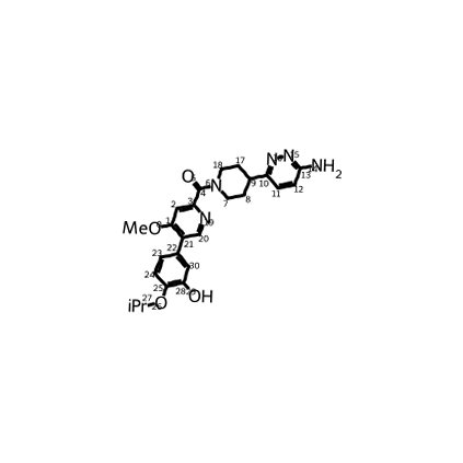 COc1cc(C(=O)N2CCC(c3ccc(N)nn3)CC2)ncc1-c1ccc(OC(C)C)c(O)c1